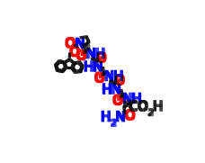 NC(=O)C[C@H](NC(=O)CNC(=O)CNC(=O)CNC(=O)CNC(=O)[C@@H]1CCCN1C(=O)OCC1c2ccccc2-c2ccccc21)C(=O)O